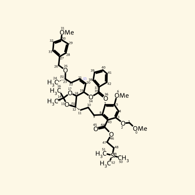 COCOc1cc(OC)cc(CCC[C@@H]2OC(C)(C)OC2C(/C=C\C[C@H](C)OCc2ccc(OC)cc2)OC(=O)c2ccccc2)c1C(=O)OCC[Si](C)(C)C